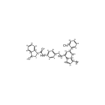 O=C1CC(C(=O)Nc2ccc(CNc3cc(-c4ccccc4Cl)nc4c(Br)cnn34)cc2)c2ccccc21